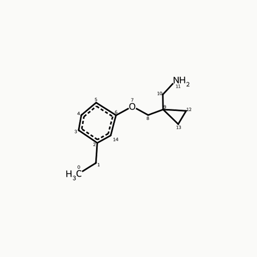 CCc1cccc(OCC2(CN)CC2)c1